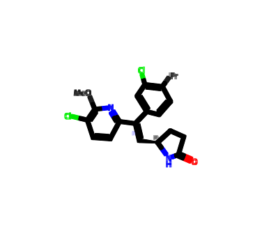 COc1nc(/C(=C/[C@H]2CCC(=O)N2)c2ccc(C(C)C)c(Cl)c2)ccc1Cl